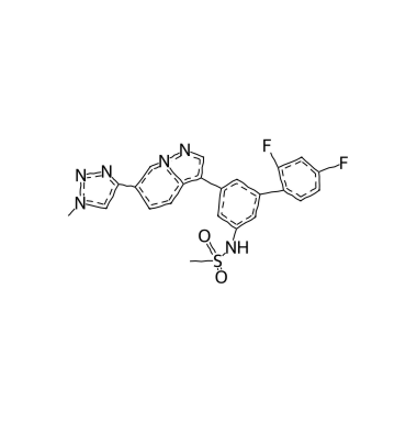 Cn1cc(-c2ccc3c(-c4cc(NS(C)(=O)=O)cc(-c5ccc(F)cc5F)c4)cnn3c2)nn1